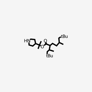 CC(CCC(C(=O)OC(C)(C)C1CCNCC1)C(C)CC(C)(C)C)CC(C)(C)C